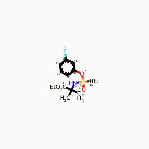 CCOC(=O)C(C)(C)NP(=O)(Oc1cccc(F)c1)C(C)(C)C